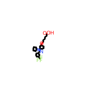 O=C(O)CCCCCOc1ccc2nc(-c3cccc(C(F)(F)F)c3)n(-c3ccccc3)c2c1